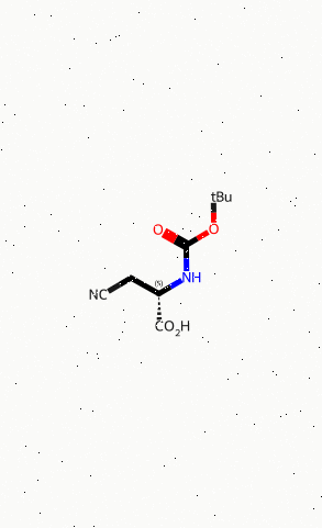 CC(C)(C)OC(=O)N[C@@H](CC#N)C(=O)O